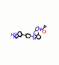 Cc1cccc2nc(-c3ccc(-c4ccc5[nH]ncc5c4)cc3)n(CC3CCN(C(=O)C4CC4)C3)c12